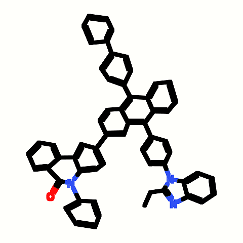 CCc1nc2ccccc2n1-c1ccc(-c2c3ccccc3c(-c3ccc(-c4ccccc4)cc3)c3ccc(-c4ccc5c(c4)c4ccccc4c(=O)n5-c4ccccc4)cc23)cc1